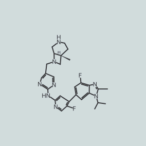 Cc1nc2c(F)cc(-c3cc(Nc4ncc(CN5C[C@@]6(C)CCNCC56)cn4)ncc3F)cc2n1C(C)C